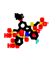 O=C1CC(C(CS(=O)(=O)[O-])SCCS(=O)(=O)[O-])C(O)(c2cc3ccc(F)cc3n2S(=O)(=O)c2ccccc2)C(C(CS(=O)(=O)O)SCCS(=O)(=O)O)C1.[Na+].[Na+]